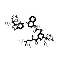 COC(C)(C)c1nnc2ccc(O[C@@H]3CC[C@H](NC(=O)Nc4cc(C(=O)NCCN(C)C)nc(C(C)(C)C)c4)c4ccccc43)cn12